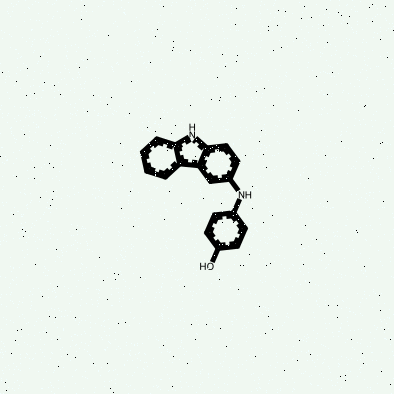 Oc1ccc(Nc2ccc3[nH]c4ccccc4c3c2)cc1